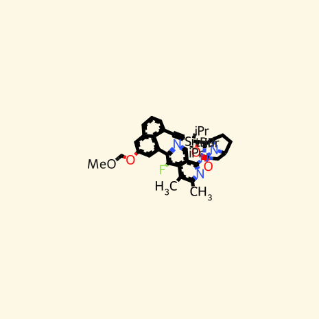 COCOc1cc(-c2ncc3c(N4CC5CCC(C4)N5C(=O)OC(C)(C)C)nc(C)c(C)c3c2F)c2c(C#C[Si](C(C)C)(C(C)C)C(C)C)cccc2c1